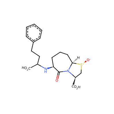 O=C(O)C(CCc1ccccc1)N[C@H]1CCC[C@@H]2N(C1=O)[C@H](C(=O)O)C[S@+]2[O-]